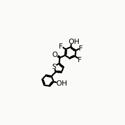 O=C(c1ccc(-c2ccccc2O)s1)c1cc(F)c(F)c(O)c1F